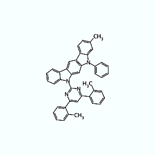 Cc1ccc2c3cc4c5ccccc5n(-c5nc(-c6ccccc6C)cc(-c6ccccc6C)n5)c4cc3n(-c3ccccc3)c2c1